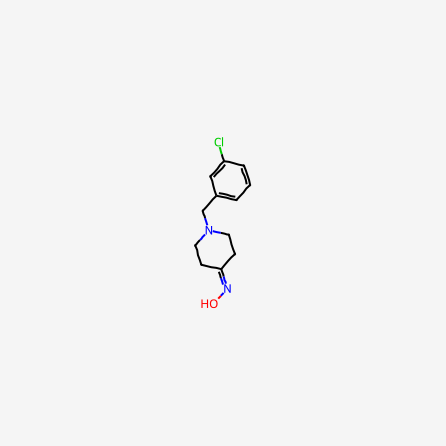 ON=C1CCN(Cc2cccc(Cl)c2)CC1